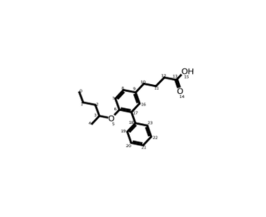 CCCC(C)Oc1ccc(CCCC(=O)O)cc1-c1ccccc1